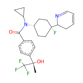 C[C@](O)(c1ccc(C(=O)N(C2CC2)[C@H]2CC[C@](F)(C3CC=CC=N3)CC2)cc1)C(F)(F)F